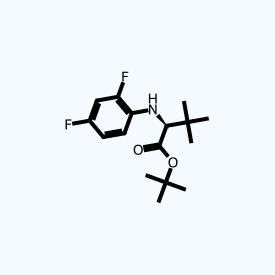 CC(C)(C)OC(=O)[C@@H](Nc1ccc(F)cc1F)C(C)(C)C